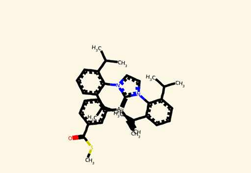 C#[C][Au]([c]1cccc(C(=O)SC)c1)=[c]1n(-c2c(C(C)C)cccc2C(C)C)ccn1-c1c(C(C)C)cccc1C(C)C